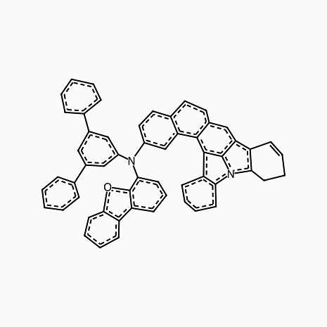 C1=Cc2c(n3c4ccccc4c4c5c(ccc6ccc(N(c7cc(-c8ccccc8)cc(-c8ccccc8)c7)c7cccc8c7oc7ccccc78)cc65)cc2c43)CC1